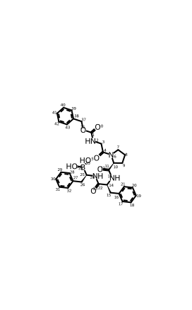 O=C(NCC(=O)N1CCC[C@H]1C(=O)N[C@@H](Cc1ccccc1)C(=O)N[C@@H](Cc1ccccc1)B(O)O)OCc1ccccc1